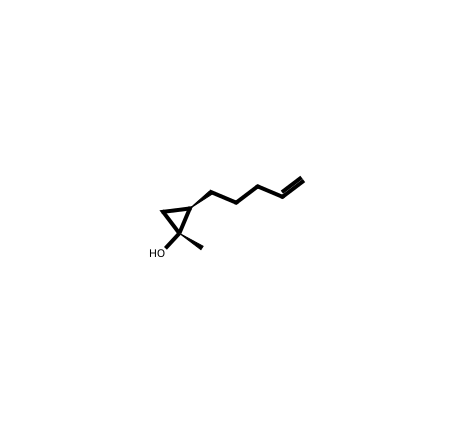 C=CCCC[C@@H]1C[C@@]1(C)O